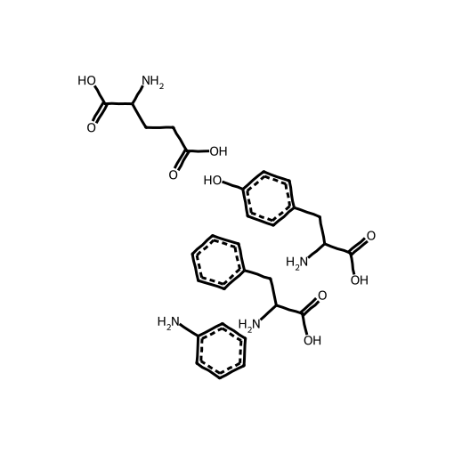 NC(CCC(=O)O)C(=O)O.NC(Cc1ccc(O)cc1)C(=O)O.NC(Cc1ccccc1)C(=O)O.Nc1ccccc1